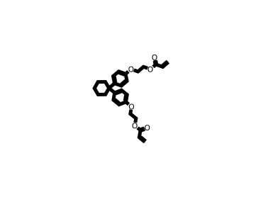 C=CC(=O)OCCOc1ccc(C2(c3ccc(OCCOC(=O)C=C)cc3)CCCCC2)cc1